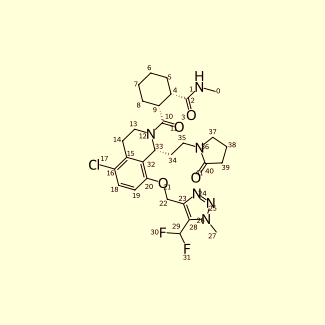 CNC(=O)[C@H]1CCCC[C@H]1C(=O)N1CCc2c(Cl)ccc(OCc3nnn(C)c3C(F)F)c2[C@H]1CCN1CCCC1=O